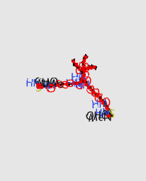 C#CCCCCOc1cc(C(=O)Nc2cc(C(=O)NCCCOCCOCCOCCCNC(=O)CCCCC3SCC(NC=O)C3NC)cc(C(=O)NCCCOCCOCCOCCCNC(=O)CCCCC3SCC(NC)C3NC=O)c2)cc(OCCCCC#C)c1OCCCCC#C